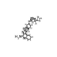 CCCCc1nc2c(N)nc3ccccc3c2n1Cc1ccc(CN(CC(C)(C)C2CCC2)C(C)(C)C)cc1